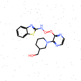 OCC1CCCN(c2nccnc2OONc2nc3ccccc3s2)C1